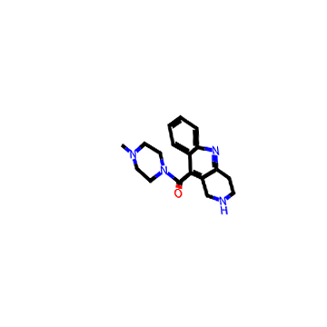 CN1CCN(C(=O)c2c3c(nc4ccccc24)CCNC3)CC1